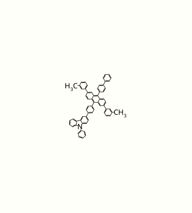 Cc1cccc(-c2ccc3c(-c4ccc(-c5ccc6c(c5)c5ccccc5n6-c5ccccc5)cc4)c4cc(-c5cccc(C)c5)ccc4c(-c4ccc(-c5ccccc5)cc4)c3c2)c1